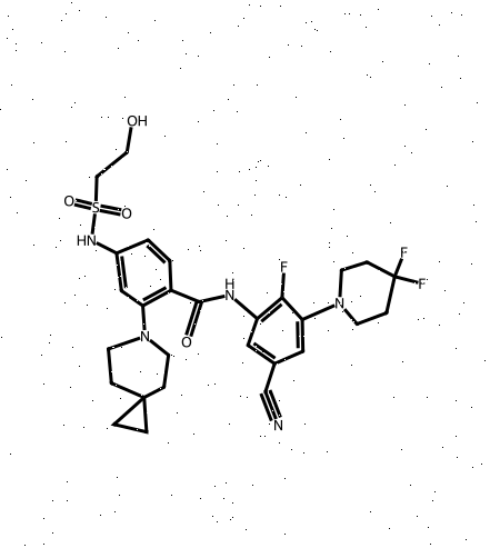 N#Cc1cc(NC(=O)c2ccc(NS(=O)(=O)CCO)cc2N2CCC3(CC2)CC3)c(F)c(N2CCC(F)(F)CC2)c1